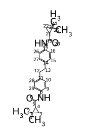 CC1(C)CC1C(=O)Nc1ccc(CCc2ccc(NC(=O)C3CC3(C)C)cc2)cc1